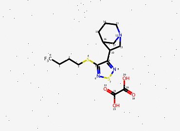 FC(F)(F)CCCSc1nsnc1C1CN2CCCC1C2.O=C(O)C(=O)O